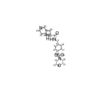 O=C(NCc1ccc(S(=O)(=O)N2CCOCC2)cc1)c1cc2cnccc2[nH]1